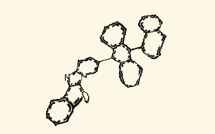 c1ccc2c(-c3c4ccccc4c(-c4ccc5nc6c7ccccc7oc6n5c4)c4ccccc34)cccc2c1